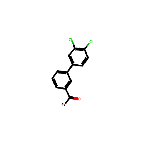 CCC(=O)c1cccc(-c2ccc(Cl)c(Cl)c2)c1